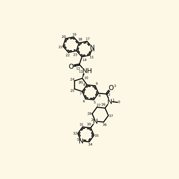 CN(C(=O)c1ccc2c(c1)[C@H](NC(=O)c1cncc3ccccc13)CC2)C1CCN(c2ccncc2)CC1